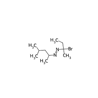 CCC(C)(Br)N=NC(C)CC(C)C